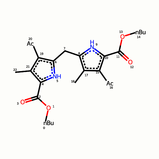 CCCCOC(=O)c1[nH]c(Cc2[nH]c(C(=O)OCCCC)c(C(C)=O)c2C)c(C(C)=O)c1C